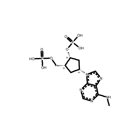 CNc1ncnc2c1ncn2[C@@H]1C[C@H](COP(=O)(O)O)[C@H](OP(=O)(O)O)C1